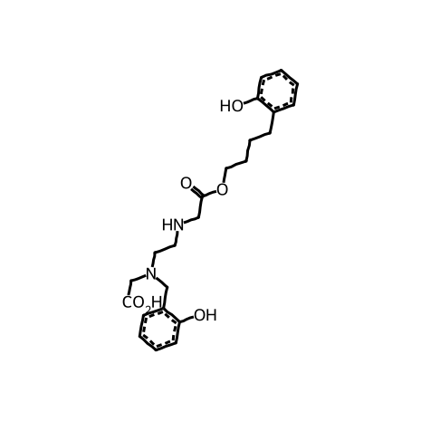 O=C(O)CN(CCNCC(=O)OCCCCc1ccccc1O)Cc1ccccc1O